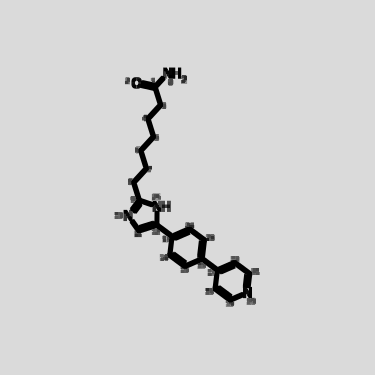 NC(=O)CCCCCCc1ncc(-c2ccc(-c3ccncc3)cc2)[nH]1